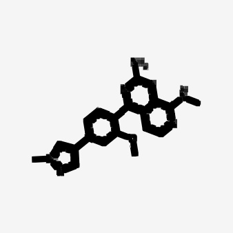 CNc1nccc2c(-c3ccc(-c4cnn(C)c4)cc3OC)nc(N)nc12